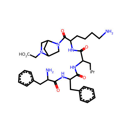 CC(C)CC(NC(=O)C(Cc1ccccc1)NC(=O)C(N)Cc1ccccc1)C(=O)NC(CCCCN)C(=O)N1CC2CC1CN2CC(=O)O